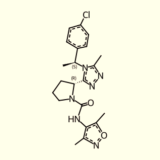 Cc1noc(C)c1NC(=O)N1CCC[C@@H]1c1nnc(C)n1[C@@H](C)c1ccc(Cl)cc1